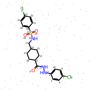 O=C(NNc1ccc(Cl)cc1)C1CCC(CNS(=O)(=O)c2ccc(F)cc2)CC1